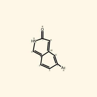 CC(=O)c1ccc2c[nH]c(=O)cc2c1